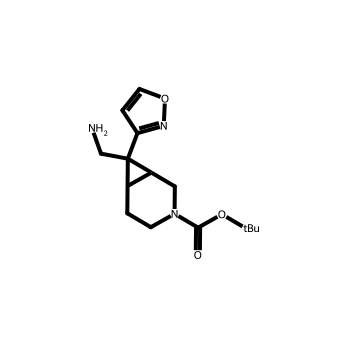 CC(C)(C)OC(=O)N1CCC2C(C1)C2(CN)c1ccon1